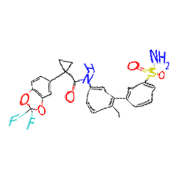 Cc1ccc(NC(=O)C2(c3ccc4c(c3)OC(F)(F)O4)CC2)cc1-c1cccc(S(N)(=O)=O)c1